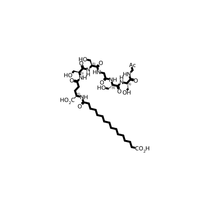 CC(=O)CNC(=O)[C@H](CO)NC(=O)[C@H](CO)NC(=O)CNC(=O)[C@H](CO)NC(=O)[C@H](CO)NC(=O)CC[C@H](NC(=O)CCCCCCCCCCCCCCC(=O)O)C(=O)O